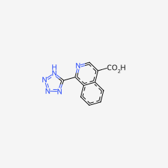 O=C(O)c1cnc(-c2nnn[nH]2)c2ccccc12